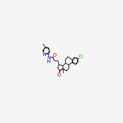 Cc1ccc(NC(=O)CCC2CC(=O)[C@@]3(C)CCC4c5ccc(Cl)cc5CCC4C23)nc1